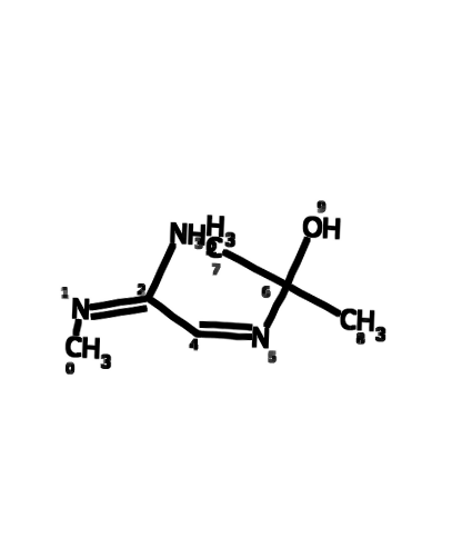 C/N=C(N)\C=N/C(C)(C)O